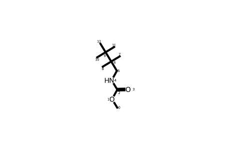 COC(=O)NCC(C)(C)C(C)(C)C